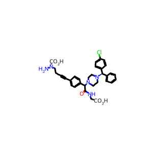 NN(CCC#Cc1ccc(C(C(=O)NCC(=O)O)N2CCN([C@H](c3ccccc3)c3ccc(Cl)cc3)CC2)cc1)C(=O)O